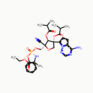 CCOC(=O)[C@H](C)N[P@](=O)(OC[C@@]1(C#N)OC[C@](OC(=O)C(C)C)(c2ccc3c(N)ncnn23)[C@@H]1OC(=O)C(C)C)Oc1ccccc1